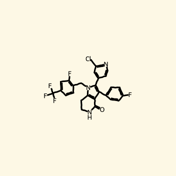 O=C1NCCc2c1c(-c1ccc(F)cc1)c(-c1ccnc(Cl)c1)n2Cc1ccc(C(F)(F)F)cc1F